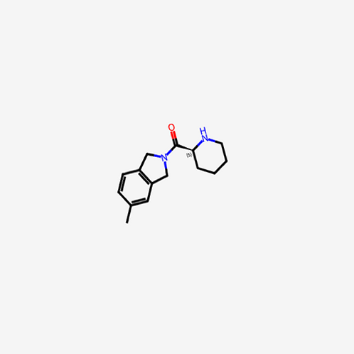 Cc1ccc2c(c1)CN(C(=O)[C@@H]1CCCCN1)C2